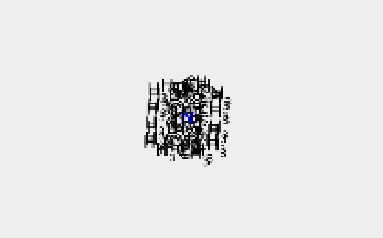 CC(C)(C)c1ccc(-c2c(-c3ccc(C(C)(C)C)cc3)c(-c3ccc(C(C)(C)C)cc3)c(-c3ccc4c(c3)c3ccccc3n4-n3c4ccccc4c4cc(-c5c(-c6ccc(C(C)(C)C)cc6)c(-c6ccc(C(C)(C)C)cc6)c(-c6ccc(C(C)(C)C)cc6)c(-c6ccc(C(C)(C)C)cc6)c5-c5ccc(C(C)(C)C)cc5)ccc43)c(-c3ccc(C(C)(C)C)cc3)c2-c2ccc(C(C)(C)C)cc2)cc1